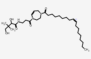 CCCCCCCC/C=C\CCCCCCCC(=O)N1CC=CN(C(=O)CCNC(=O)C(O)C(C)(C)CO)CC1